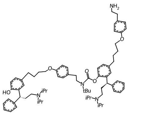 CC(C)N(CC[C@H](c1ccccc1)c1cc(CCCCOc2ccc(CCN(C(=O)Oc3ccc(CCCCOc4ccc(CCN)cc4)cc3[C@H](CCN(C(C)C)C(C)C)c3ccccc3)C(C)(C)C)cc2)ccc1O)C(C)C